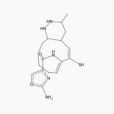 CC1CC2/C=C(S)\C(NC(=O)c3coc(N)n3)=C\CCCCC2NN1